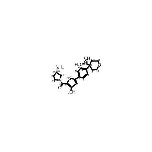 Cc1cc(-c2ccc(C3(N(C)C)CCOCC3)cc2)sc1C(=O)N1CC[C@H](N)C1